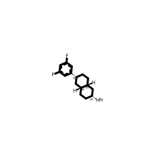 CCC[C@@H]1CC[C@@H]2C[C@H](c3cc(F)cc(F)c3)CC[C@@H]2C1